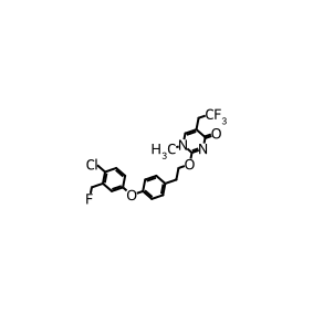 Cn1cc(CC(F)(F)F)c(=O)nc1OCCc1ccc(Oc2ccc(Cl)c(CF)c2)cc1